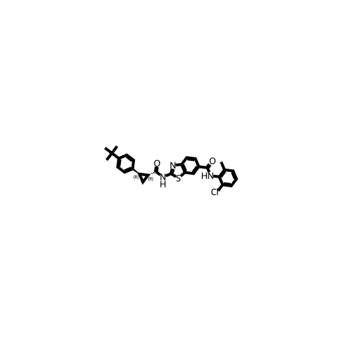 Cc1cccc(Cl)c1NC(=O)c1ccc2nc(NC(=O)[C@@H]3C[C@H]3c3ccc(C(C)(C)C)cc3)sc2c1